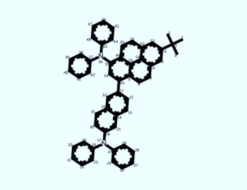 CC(C)(C)c1cc2ccc3c(-c4ccc5cc(N(c6ccccc6)c6ccccc6)ccc5c4)cc(N(c4ccccc4)c4ccccc4)c4ccc(c1)c2c34